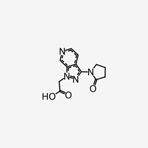 O=C(O)Cn1nc(N2CCCC2=O)c2ccncc21